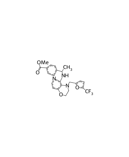 COC(=O)c1ccc(C(C)Nc2nccc3c2N(Cc2ccc(C(F)(F)F)o2)CCO3)cc1